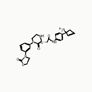 NC1(c2ccc(NC(=O)C[C@H]3NCCN(c4cccc(N5CCOC5=O)c4)C3=O)cc2)C=CC1